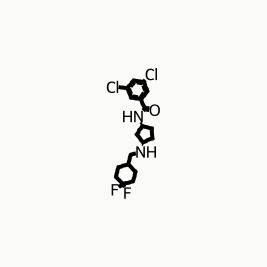 O=C(N[C@H]1CC[C@H](NCC2CCC(F)(F)CC2)C1)c1cc(Cl)cc(Cl)c1